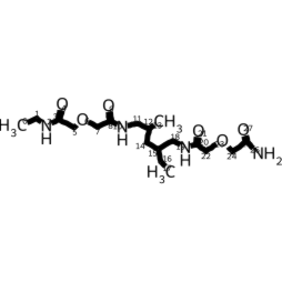 CCNC(=O)COCC(=O)NCC(C)CC(CC)CNC(=O)COCC(N)=O